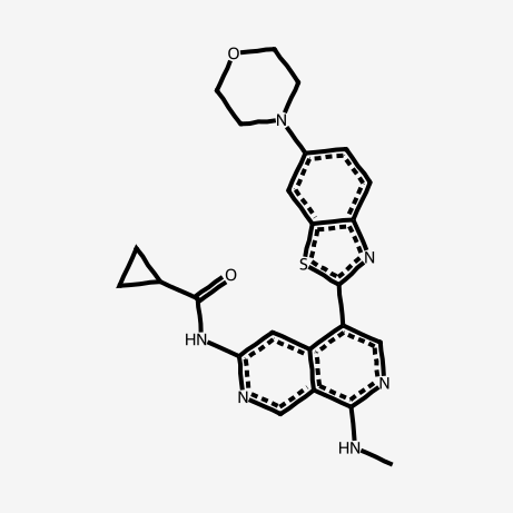 CNc1ncc(-c2nc3ccc(N4CCOCC4)cc3s2)c2cc(NC(=O)C3CC3)ncc12